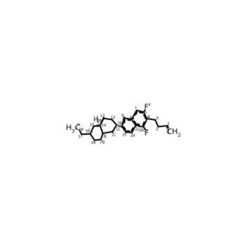 C=CCCc1c(F)cc2cc([C@@H]3CC[C@@H]4CC(CC)CCC4C3)ccc2c1F